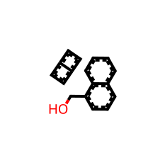 OCc1cccc2ccccc12.c1cc2ccc1-2